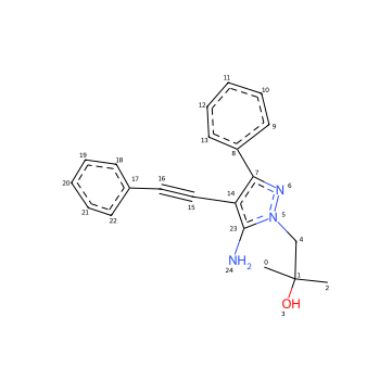 CC(C)(O)Cn1nc(-c2ccccc2)c(C#Cc2ccccc2)c1N